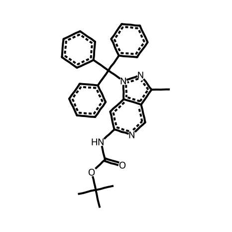 Cc1nn(C(c2ccccc2)(c2ccccc2)c2ccccc2)c2cc(NC(=O)OC(C)(C)C)ncc12